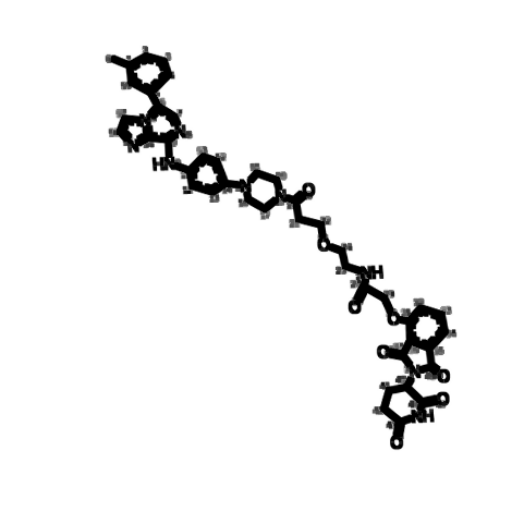 Cc1cccc(-c2cnc(Nc3ccc(N4CCN(C(=O)CCOCCNC(=O)COc5cccc6c5C(=O)N(C5CCC(=O)NC5=O)C6=O)CC4)cc3)c3nccn23)c1